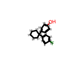 Oc1ccc(C2(c3ccc(F)cc3)CCCCC2)cc1